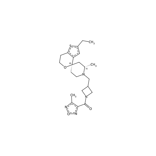 CCc1cc2c(s1)CCO[C@@]21CCN(CC2CN(C(=O)c3nonc3C)C2)[C@@H](C)C1